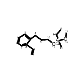 C=Cc1ccccc1CCCO[Si](C)(CC)OC